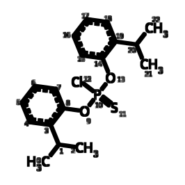 CC(C)c1ccccc1OP(=S)(Cl)Oc1ccccc1C(C)C